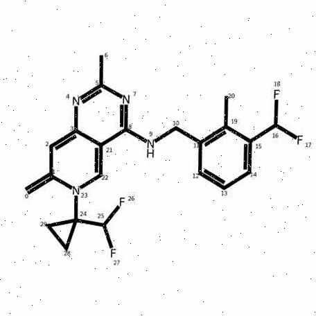 C=C1C=c2nc(C)nc(NCc3cccc(C(F)F)c3C)c2=CN1C1(C(F)F)CC1